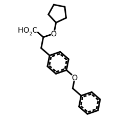 O=C(O)C(Cc1ccc(OCc2ccccc2)cc1)OC1CCCC1